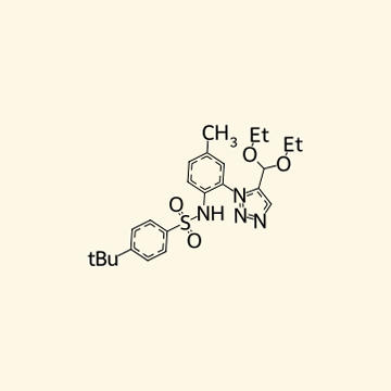 CCOC(OCC)c1cnnn1-c1cc(C)ccc1NS(=O)(=O)c1ccc(C(C)(C)C)cc1